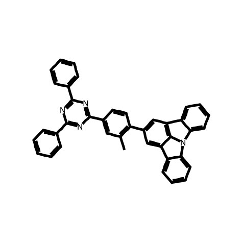 Cc1cc(-c2nc(-c3ccccc3)nc(-c3ccccc3)n2)ccc1-c1cc2c3ccccc3n3c4ccccc4c(c1)c23